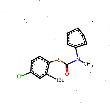 CN(C(=O)Sc1ccc(Cl)cc1C(C)(C)C)c1ccccc1